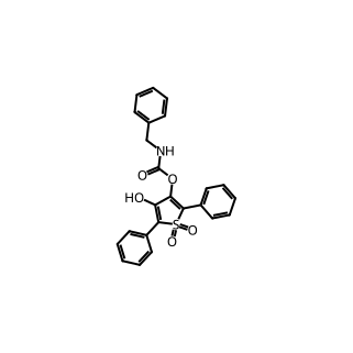 O=C(NCc1ccccc1)OC1=C(c2ccccc2)S(=O)(=O)C(c2ccccc2)=C1O